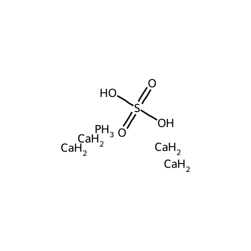 O=S(=O)(O)O.P.[CaH2].[CaH2].[CaH2].[CaH2]